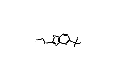 CCNc1nc2nc(C(F)(F)F)ncc2[nH]1